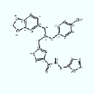 C=C(NCc1ccco1)c1csc(CN(Cc2ccc(Cl)cc2)Cc2ccc3c(c2)OCO3)n1